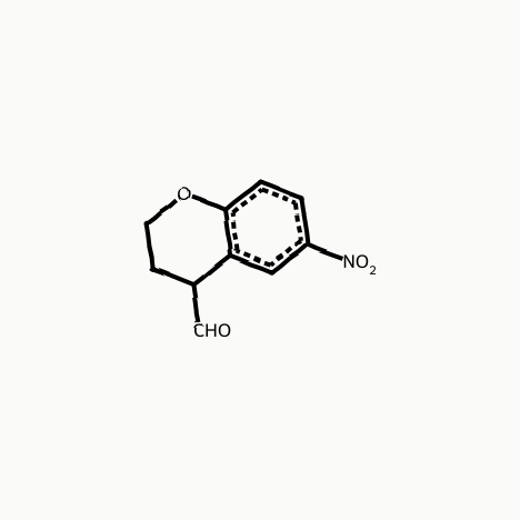 O=CC1CCOc2ccc([N+](=O)[O-])cc21